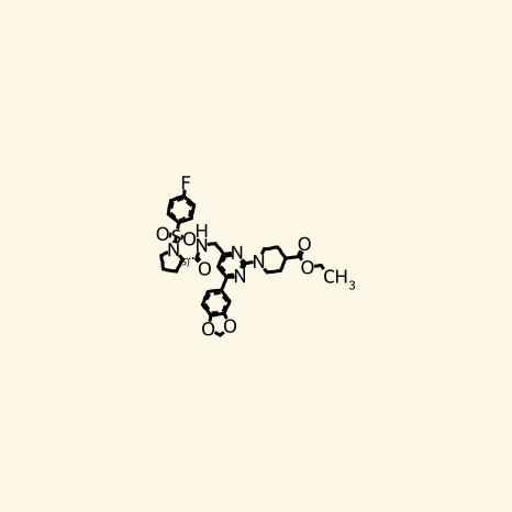 CCOC(=O)C1CCN(c2nc(CNC(=O)[C@@H]3CCCN3S(=O)(=O)c3ccc(F)cc3)cc(-c3ccc4c(c3)OCO4)n2)CC1